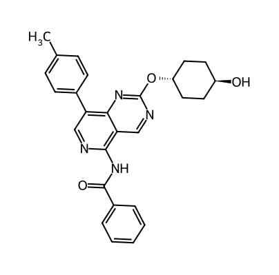 Cc1ccc(-c2cnc(NC(=O)c3ccccc3)c3cnc(O[C@H]4CC[C@H](O)CC4)nc23)cc1